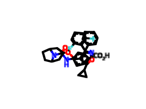 O=C(O)c1ccc(NC(=O)N2C3CCC2CC(OCc2c(-c4c(F)cccc4F)noc2C2CC2)C3)cc1-c1ccccc1